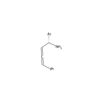 CC(=O)[C@H](N)C=C=CC(C)C